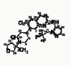 C[C@@]1(N2CCC(c3cc4nc(Nc5ccnn5C5CC5(F)F)ncc4cc3Cl)CC2)COC[C@@H]1O